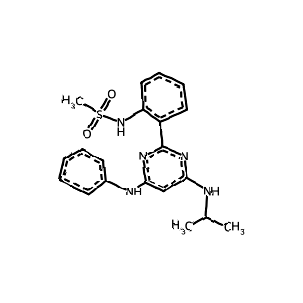 CC(C)Nc1cc(Nc2ccccc2)nc(-c2ccccc2NS(C)(=O)=O)n1